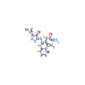 CCN1CCN(C2SC(C(N)=O)=C(C)N2Cc2cccnc2)C1=O